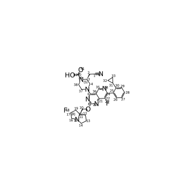 N#CC[C@H]1CN(c2nc(OC[C@@]34CCCN3C[C@H](F)C4)nc3c(F)c(-c4ccccc4C4CC4)ncc23)CCN1C(=O)O